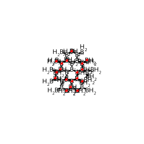 BB(B)B(B)B(B(B)B)B(B(B(B)B)B(B)B)B(B(B(B(B)B)B(B)B)B(B(B)B)B(B)B)B(B(B(B)B)B(B)B)B(B(B(B)B)B(B)B)B(B(B)B)B(B)B